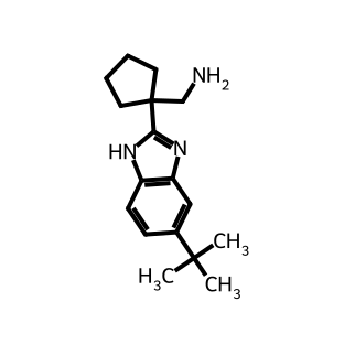 CC(C)(C)c1ccc2[nH]c(C3(CN)CCCC3)nc2c1